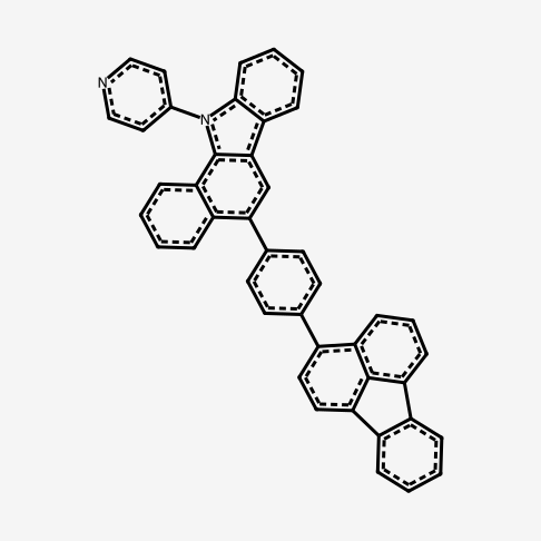 c1ccc2c(c1)-c1cccc3c(-c4ccc(-c5cc6c7ccccc7n(-c7ccncc7)c6c6ccccc56)cc4)ccc-2c13